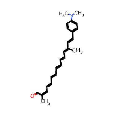 C/C(C=O)=C/C=C/C=C/C=C/C=C/C=C(C)/C=C/c1ccc(N(C)C)cc1